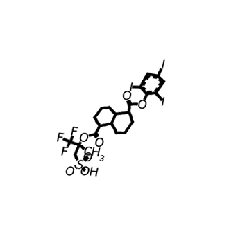 CC(CS(=O)(=O)O)(OC(=O)C1CCCC2C(C(=O)Oc3c(I)cc(I)cc3I)CCCC12)C(F)(F)F